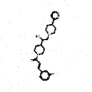 Cc1cccc(C=CC(=O)N2CCC(C(O)CN3CCC(c4cc[nH]n4)CC3)CC2)c1